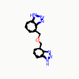 c1cc(COCc2cccc3[nH]nnc23)c2nn[nH]c2c1